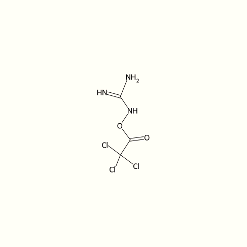 N=C(N)NOC(=O)C(Cl)(Cl)Cl